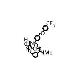 CNC(=O)c1cccc(Cn2nc(C)c(NC(=O)c3ccc(COc4ccc(C(F)(F)F)cc4)cc3)c2C)c1